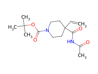 C=CC1(C(=O)NC(C)=O)CCN(C(=O)OC(C)(C)C)CC1